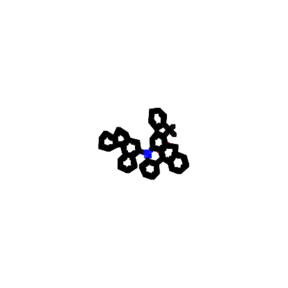 CC1(C)c2ccccc2-c2cc(N(c3ccccc3-c3cccc4ccccc34)c3cc4ccc5ccccc5c4c4ccccc34)ccc21